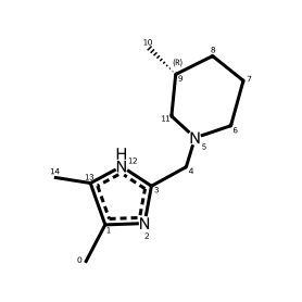 Cc1nc(CN2CCC[C@@H](C)C2)[nH]c1C